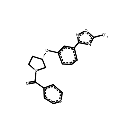 O=C(c1ccncc1)N1CC[C@H](Oc2cccc(-c3noc(C(F)(F)F)n3)c2)C1